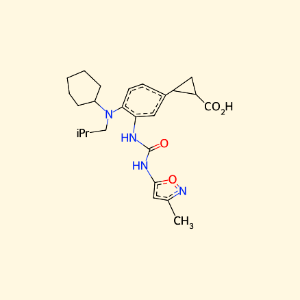 Cc1cc(NC(=O)Nc2cc(C3CC3C(=O)O)ccc2N(CC(C)C)C2CCCCC2)on1